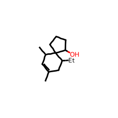 CCC1CC(C)=CC(C)C12CCCC2O